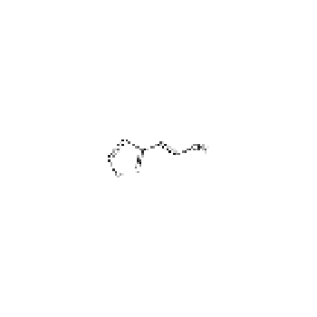 [CH2]C=Cc1ccsc1